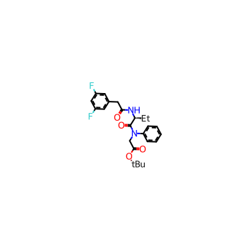 CC[C@H](NC(=O)Cc1cc(F)cc(F)c1)C(=O)N(CC(=O)OC(C)(C)C)c1ccccc1